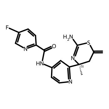 C=C1C[C@@](C)(c2cc(NC(=O)c3ccc(F)cn3)ccn2)N=C(N)S1